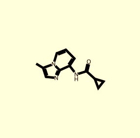 Cc1cnc2c(NC(=O)C3CC3)cccn12